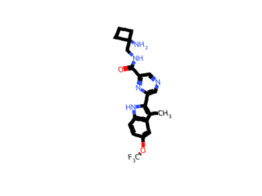 Cc1c(-c2cncc(C(=O)NCC3(N)CCC3)n2)[nH]c2ccc(OC(F)(F)F)cc12